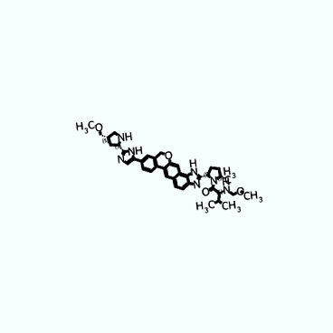 COCN[C@H](C(=O)N1[C@@H](C)CC[C@H]1c1nc2ccc3cc4c(cc3c2[nH]1)OCc1cc(-c2cnc([C@@H]3C[C@H](COC)CN3)[nH]2)ccc1-4)C(C)C